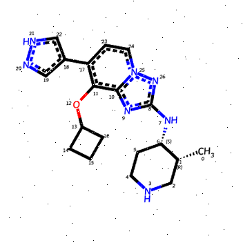 C[C@@H]1CNCC[C@@H]1Nc1nc2c(OC3CCC3)c(-c3cn[nH]c3)ccn2n1